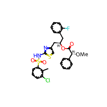 CO[C@@H](C(=O)O[C@@H](Cc1csc(NS(=O)(=O)c2cccc(Cl)c2C)n1)Cc1ccccc1F)c1ccccc1